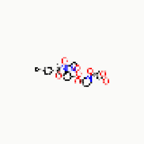 C[C@H](NC(=O)c1ccon1)[C@H](Oc1ccc(C(=O)O[C@H]2CCCN(C(=O)[C@H]3COC(=O)C3)C2)cc1)c1ccc(C2CC2)cc1